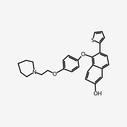 Oc1ccc2c(Oc3ccc(OCCN4CCCCC4)cc3)c(-c3cccs3)ccc2c1